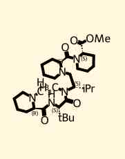 COC(=O)[C@@H]1CCCCN1C(=O)[C@@H]1CCCCN1C[C@H](C(C)C)N(C)C(=O)[C@@H](NC(=O)[C@H]1CCCCN1C)C(C)(C)C